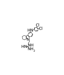 N=C(N)NCCn1c2c(c3cc(Nc4ccc(Cl)c(Cl)c4)ccc31)CCCC2